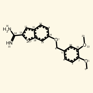 COc1ccc(COc2ccc3cc(C(=N)N)sc3c2)cc1OC